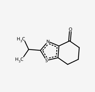 CC(C)c1nc2c(s1)CCCC2=O